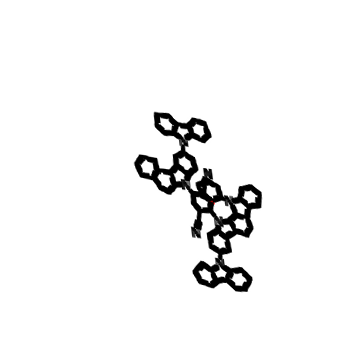 N#Cc1cc(-n2c3ccc(-n4c5ccccc5c5ccccc54)cc3c3ccc4c5ccccc5n(-c5ccccc5)c4c32)c(C#N)cc1-n1c2ccc(-n3c4ccccc4c4ccccc43)cc2c2c3ccccc3ccc21